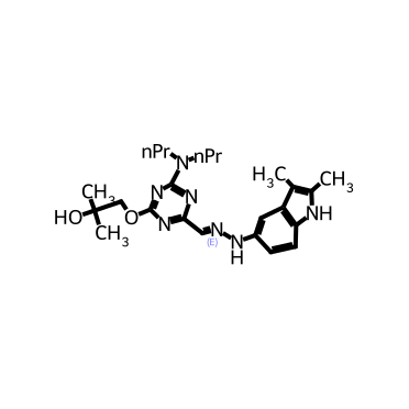 CCCN(CCC)c1nc(/C=N/Nc2ccc3[nH]c(C)c(C)c3c2)nc(OCC(C)(C)O)n1